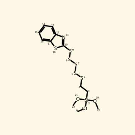 CO[Si](CCSSSSSc1nc2ccccc2s1)(OC)OC